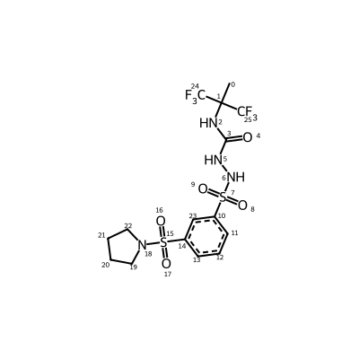 CC(NC(=O)NNS(=O)(=O)c1cccc(S(=O)(=O)N2CCCC2)c1)(C(F)(F)F)C(F)(F)F